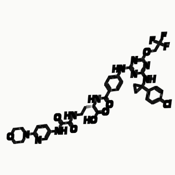 O=C(NCC[C@H](NC(=O)c1ccc(Nc2nc(NC3(c4ccc(Cl)cc4)CC3)nc(OCC(F)(F)F)n2)cc1)C(=O)O)C(=O)Nc1ccc(N2CCOCC2)nc1